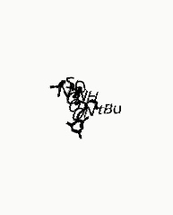 Cc1cc(C)c(Oc2nc(C(C)(C)C)ccc2C(=O)NS(=O)(=O)c2nc(C)cs2)c(C)c1